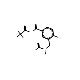 CC(=O)N(C)Cc1cc(C(=O)OC(=O)C(F)(F)F)ccc1N